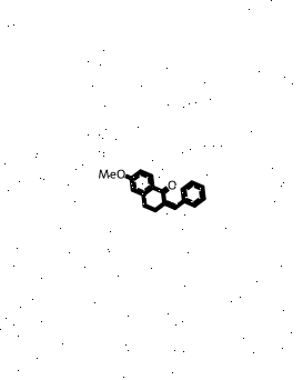 COc1ccc2c(c1)CC/C(=C/c1ccccc1)C2=O